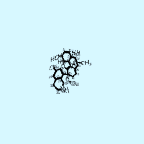 CN1CC[C@]23C4=C5O[C@H]2[C@@H](O)C=C[C@H]3[C@H]1CC4=CC[C@@]5(OC(C)(C)C)c1cc(Cl)cc2c1CNCC2